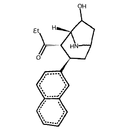 CCC(=O)[C@H]1[C@H](c2ccc3ccccc3c2)CC2CC(O)[C@@H]1N2